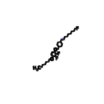 CCCCCCCOc1ccc(OCC2CCC(/C=C/CCCCCCCF)CC2)c(F)c1F